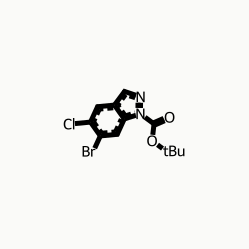 CC(C)(C)OC(=O)n1ncc2cc(Cl)c(Br)cc21